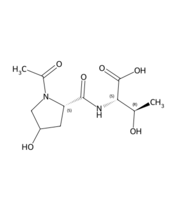 CC(=O)N1CC(O)C[C@H]1C(=O)N[C@H](C(=O)O)[C@@H](C)O